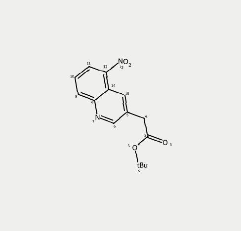 CC(C)(C)OC(=O)Cc1cnc2cccc([N+](=O)[O-])c2c1